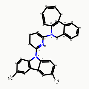 N#Cc1ccc2c(c1)c1cc(C#N)ccc1n2C1=NC(N2Cc3ccccc3C3=C2C=CC=CC3)=CCC1